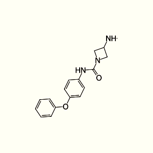 [NH]C1CN(C(=O)Nc2ccc(Oc3ccccc3)cc2)C1